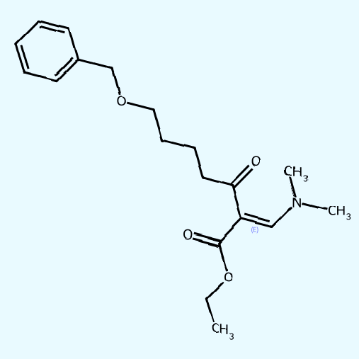 CCOC(=O)/C(=C/N(C)C)C(=O)CCCCOCc1ccccc1